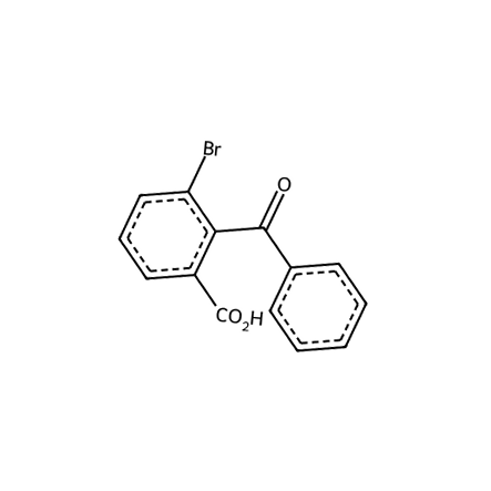 O=C(O)c1cccc(Br)c1C(=O)c1ccccc1